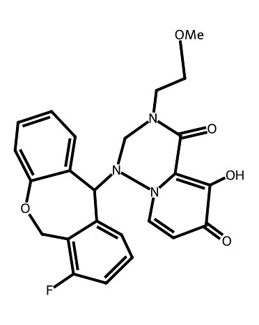 COCCN1CN(C2c3ccccc3OCc3c(F)cccc32)n2ccc(=O)c(O)c2C1=O